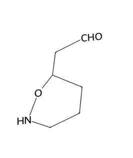 O=CCC1CCCNO1